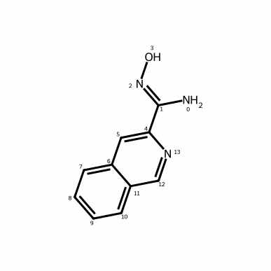 NC(=NO)c1cc2ccccc2cn1